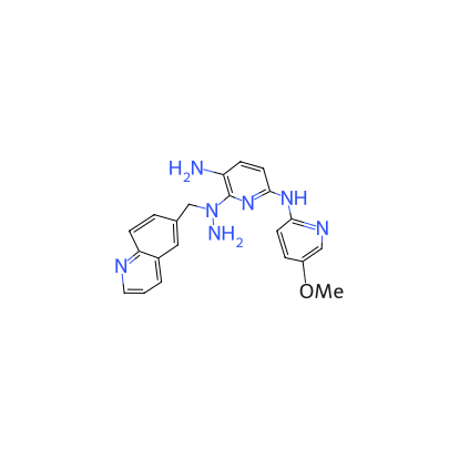 COc1ccc(Nc2ccc(N)c(N(N)Cc3ccc4ncccc4c3)n2)nc1